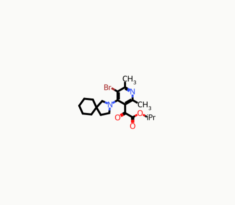 Cc1nc(C)c(C(=O)C(=O)OC(C)C)c(N2CCC3(CCCCC3)C2)c1Br